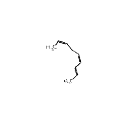 C/C=C\C/C=C\CCC